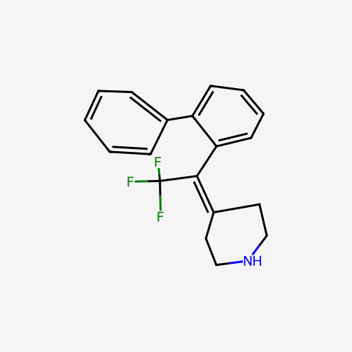 FC(F)(F)C(=C1CCNCC1)c1ccccc1-c1ccccc1